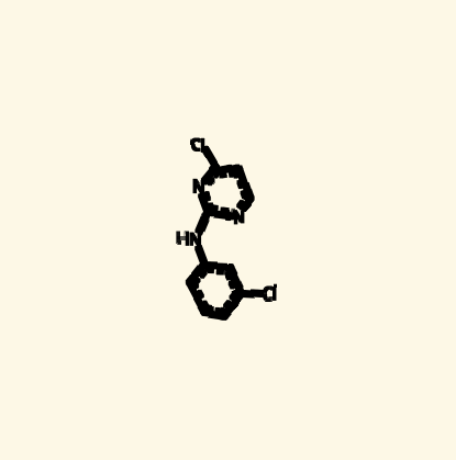 Clc1cccc(Nc2nccc(Cl)n2)c1